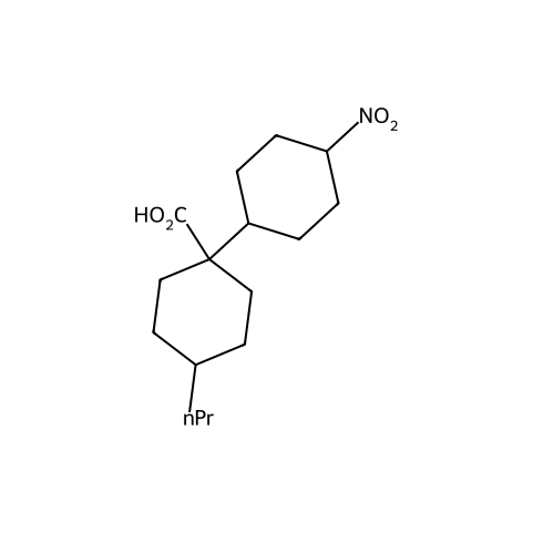 CCCC1CCC(C(=O)O)(C2CCC([N+](=O)[O-])CC2)CC1